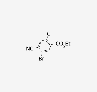 CCOC(=O)c1cc(Br)c(C#N)cc1Cl